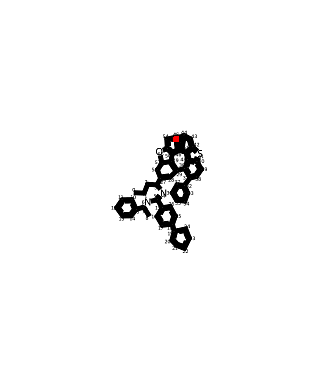 CCCC(/N=C(\N=C(/C)c1ccccc1)c1ccc(-c2ccccc2)cc1)C1=CC(c2c(-c3ccccc3)ccc3sc4ccccc4c23)=C2c3ccccc3OC2C1